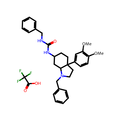 COc1ccc(C23CCC(NC(=O)NCc4ccccc4)CC2N(Cc2ccccc2)CC3)cc1OC.O=C(O)C(F)(F)F